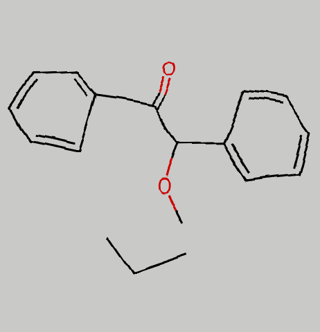 CCC.COC(C(=O)c1ccccc1)c1ccccc1